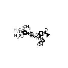 COc1cc(-n2cnc(Nc3nc4c(c(N5CCCC5CO)n3)CN(C(=O)C3CC3)CC4)c2)cc(OC)c1OC